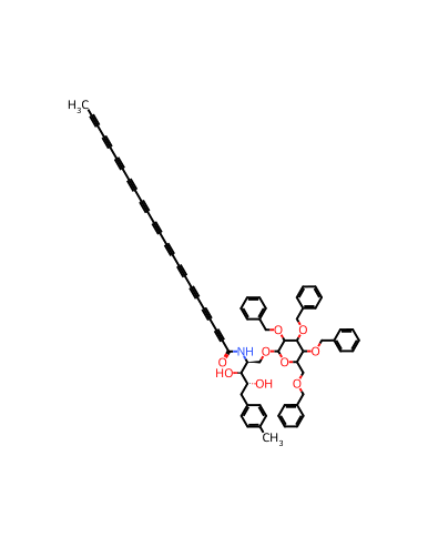 CC#CC#CC#CC#CC#CC#CC#CC#CC#CC#CC#CC(=O)N[C@@H](COC1OC(COCc2ccccc2)C(OCc2ccccc2)C(OCc2ccccc2)C1OCc1ccccc1)[C@H](O)[C@H](O)Cc1ccc(C)cc1